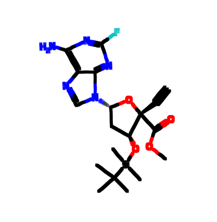 C#C[C@]1(C(=O)OC)O[C@@H](n2cnc3c(N)nc(F)nc32)C[C@@H]1O[Si](C)(C)C(C)(C)C